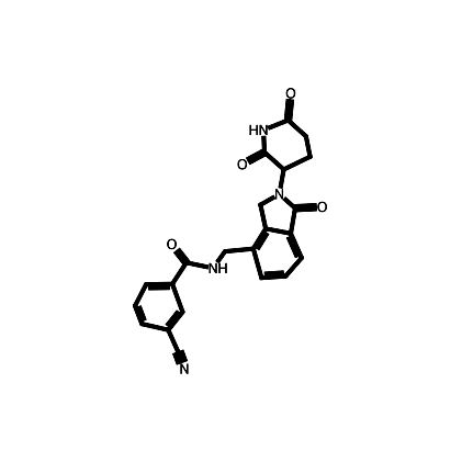 N#Cc1cccc(C(=O)NCc2cccc3c2CN(C2CCC(=O)NC2=O)C3=O)c1